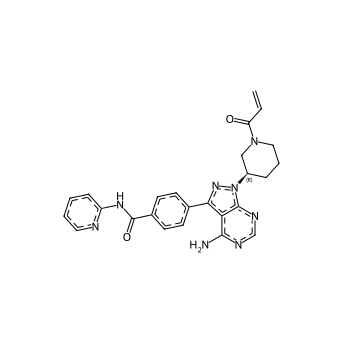 C=CC(=O)N1CCC[C@@H](n2nc(-c3ccc(C(=O)Nc4ccccn4)cc3)c3c(N)ncnc32)C1